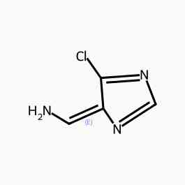 N/C=C1/N=CN=C1Cl